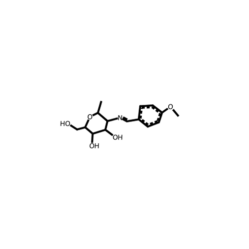 COc1ccc(/C=N/C2C(C)OC(CO)C(O)C2O)cc1